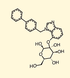 OC[C@H]1O[C@@H](O)[C@@](O)(Oc2cccc3ncn(Cc4ccc(-c5ccccc5)cc4)c23)[C@@H](O)[C@@H]1O